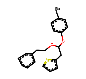 CCC(C)c1ccc(OC(Cc2cccs2)OCCc2ccccc2)cc1